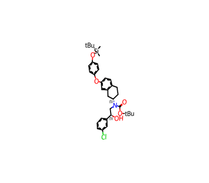 CC(C)(C)OC(=O)N(C[C@@H](O)c1cccc(Cl)c1)[C@H]1CCc2ccc(Oc3ccc(O[Si](C)(C)C(C)(C)C)cc3)cc2C1